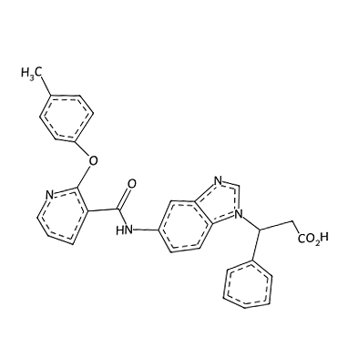 Cc1ccc(Oc2ncccc2C(=O)Nc2ccc3c(c2)ncn3C(CC(=O)O)c2ccccc2)cc1